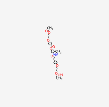 C=CC(=O)OCCCCOc1ccc(C(=O)Oc2ccc(NC(=O)/C=C/c3ccc(OCCCCOC(O)C=C)cc3)c(C)c2)cc1